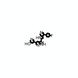 Oc1cncc(-c2cnc3[nH]nc(-c4cc5c(-c6ccc(F)cc6)cncc5[nH]4)c3c2)c1